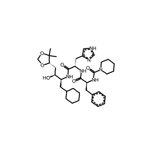 CC1(C)OCO[C@H]1C[C@H](O)[C@H](CC1CCCCC1)NC(=O)[C@H](Cc1c[nH]cn1)NC(=O)[C@H](Cc1ccccc1)NC(=O)N1CCCCC1